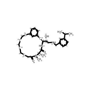 CC(C)c1cccc(CNC[C@@H](O)[C@@H]2Cc3cccc(c3)OCCCCCCCC(=O)N(C)[C@@H](C)C(=O)N2)c1